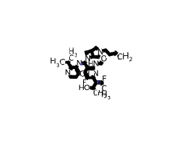 C=CCCN1CC2CN(/C(=N/c3c(C)ccnc3C(C)C)c3cc(F)c(/C(C(=C)O)=C(/C)F)nc3NC=O)C2C1